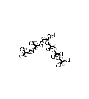 ClC(Cl)Cl.ClC(Cl)Cl.ClC(Cl)Cl.ClC(Cl)Cl.ClC(Cl)Cl.OCCC(Cl)(Cl)Cl